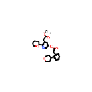 COC(=O)Cc1cccnc1C1CCCCO1.O=C(O)Cc1ccccc1C1CCOCC1